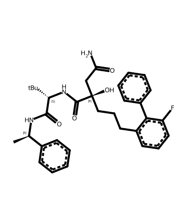 C[C@@H](NC(=O)[C@@H](NC(=O)[C@@](O)(CCCc1cccc(F)c1-c1ccccc1)CC(N)=O)C(C)(C)C)c1ccccc1